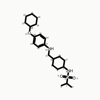 CC(C)S(=O)(=O)NC1CCC(CNc2ccc(OC3CCCCC3)cc2)CC1